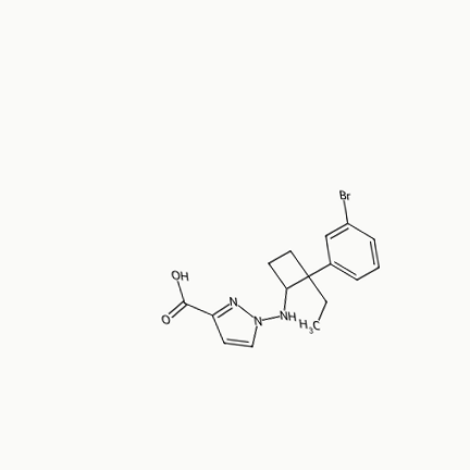 CCC1(c2cccc(Br)c2)CCC1Nn1ccc(C(=O)O)n1